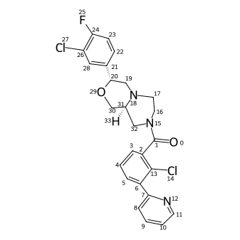 O=C(c1cccc(-c2ccccn2)c1Cl)N1CCN2C[C@@H](c3ccc(F)c(Cl)c3)OC[C@@H]2C1